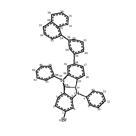 Brc1ccc2c(c1)N(c1ccccc1)C1c3ccc(-c4cccc(-c5cccc6ccccc56)c4)cc3N(c3ccccc3)C21